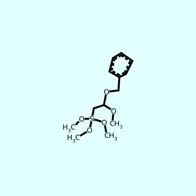 COC(C[Si](OC)(OC)OC)OCc1ccccc1